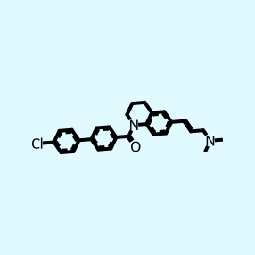 CN(C)C/C=C/c1ccc2c(c1)CCCN2C(=O)c1ccc(-c2ccc(Cl)cc2)cc1